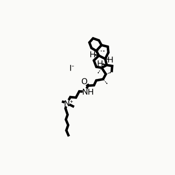 CCCCCC[N+](C)(C)CCCNC(=O)CC[C@@H](C)[C@H]1CC[C@H]2[C@@H]3CCC4CCCC[C@]4(C)[C@H]3CC[C@]12C.[I-]